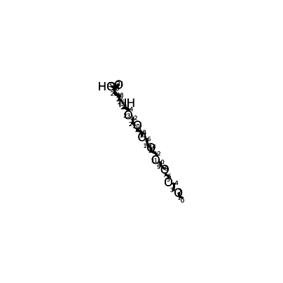 CCOCCOCCOCCOCCOCCOCCOCCOCCNCC=CC(=O)O